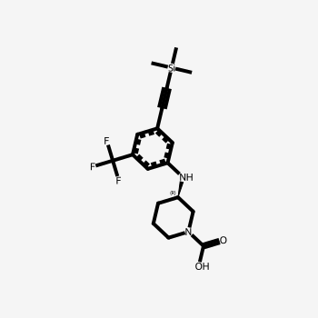 C[Si](C)(C)C#Cc1cc(N[C@@H]2CCCN(C(=O)O)C2)cc(C(F)(F)F)c1